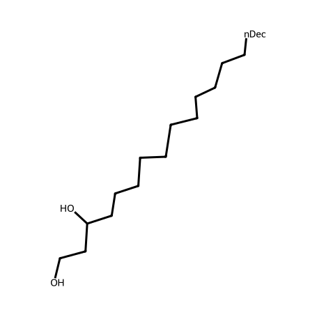 CCCCCCCCCCCCCCCCCCCCCC(O)CCO